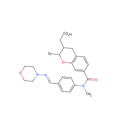 CCC1Oc2cc(C(=O)N(C)c3ccc(C=NN4CCOCC4)cc3)ccc2CC1CC(=O)O